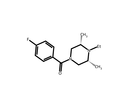 CCN1[C@H](C)CN(C(=O)c2ccc(F)cc2)C[C@@H]1C